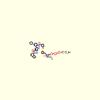 CN(CCOCCOCCOCCC(=O)O)C(=O)Cc1cccc(SCc2cccc(C(=O)Nc3ccc(N4CCCCC4)cc3-c3cc(C(=O)N[C@H]4CCCc5ccccc54)ccn3)c2)c1